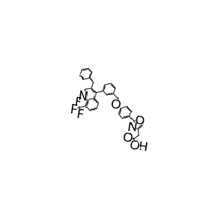 O=C(O)Cc1coc(-c2ccc(OCc3cccc(-c4c(Cc5ccccc5)cnc5c(C(F)(F)F)cccc45)c3)cc2)n1